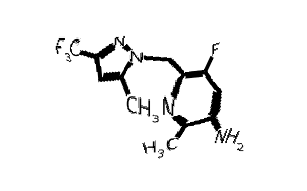 Cc1nc(Cn2nc(C(F)(F)F)cc2C)c(F)cc1N